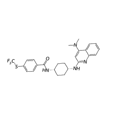 CN(C)c1cc(N[C@H]2CC[C@@H](NC(=O)c3ccc(SC(F)(F)F)cc3)CC2)nc2ccccc12